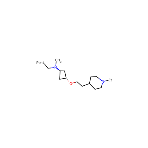 CCCC(C)CN(C)[C@H]1C[C@H](OCCC2CCN(CC)CC2)C1